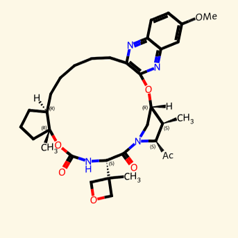 COc1ccc2nc3c(nc2c1)O[C@H]1CN(C(=O)[C@H](C2(C)COC2)NC(=O)O[C@]2(C)CCC[C@H]2CCCCC3)[C@H](C(C)=O)[C@@H]1C